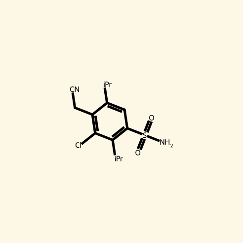 CC(C)c1cc(S(N)(=O)=O)c(C(C)C)c(Cl)c1CC#N